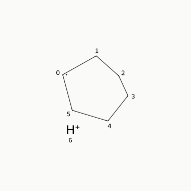 [CH]1CCCCC1.[H+]